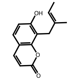 CC=C(C)Cc1c(O)ccc2ccc(=O)oc12